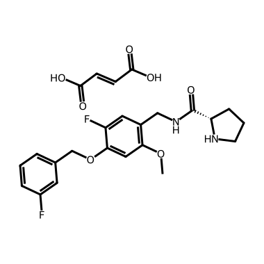 COc1cc(OCc2cccc(F)c2)c(F)cc1CNC(=O)[C@@H]1CCCN1.O=C(O)/C=C/C(=O)O